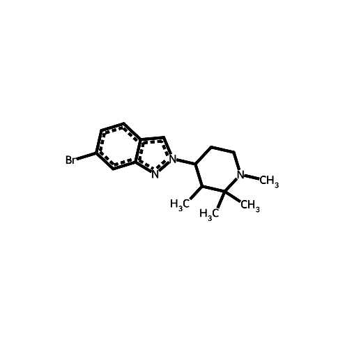 CC1C(n2cc3ccc(Br)cc3n2)CCN(C)C1(C)C